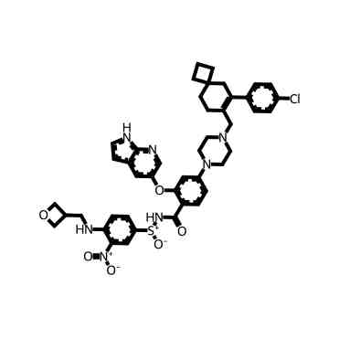 O=C(N[S+]([O-])c1ccc(NCC2COC2)c([N+](=O)[O-])c1)c1ccc(N2CCN(CC3=C(c4ccc(Cl)cc4)CC4(CCC4)CC3)CC2)cc1Oc1cnc2[nH]ccc2c1